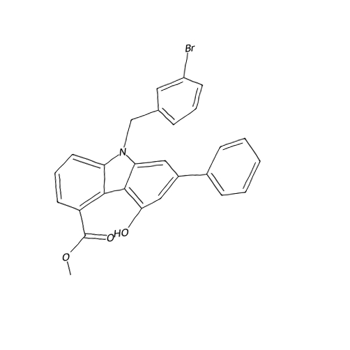 COC(=O)c1cccc2c1c1c(O)cc(-c3ccccc3)cc1n2Cc1cccc(Br)c1